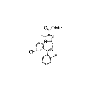 COC(=O)c1nc2n(c1C)-c1ccc(Cl)cc1C(c1ccccc1F)=NC2